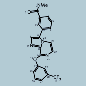 CNC(=O)c1cccc(-c2cnc3c(Oc4cccc(C(F)(F)F)c4)nccn23)c1